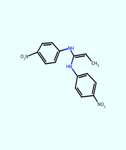 CC=C(Nc1ccc([N+](=O)[O-])cc1)Nc1ccc([N+](=O)[O-])cc1